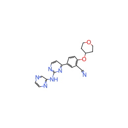 N#Cc1cc(-c2ccnc(Nc3cnccn3)n2)ccc1OC1CCOCC1